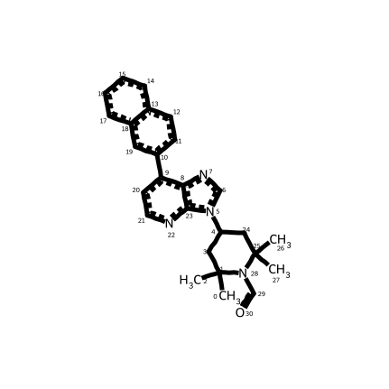 CC1(C)CC(n2cnc3c(-c4ccc5ccccc5c4)ccnc32)CC(C)(C)N1C=O